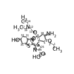 CCCOc1ccc(C(=O)OCCN(CC)CC)cc1N.O=C(O)[C@H]1CSC(c2nc3ccc(O)cc3s2)=N1